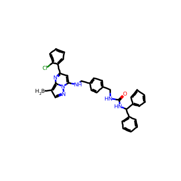 Bc1cnn2c(NCc3ccc(CNC(=O)NC(c4ccccc4)c4ccccc4)cc3)cc(-c3ccccc3Cl)nc12